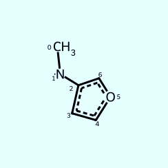 C[N]c1ccoc1